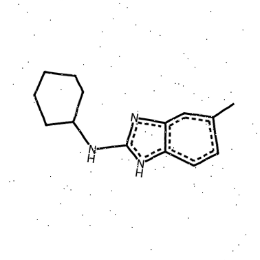 Cc1ccc2[nH]c(NC3CCCCC3)nc2c1